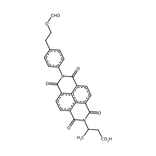 CC(CC(=O)O)N1C(=O)c2ccc3c4c(ccc(c24)C1=O)C(=O)N(c1ccc(CCOC=O)cc1)C3=O